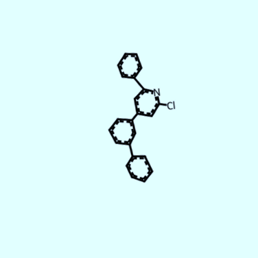 Clc1cc(-c2cccc(-c3ccccc3)c2)cc(-c2ccccc2)n1